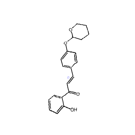 O=C(/C=C/c1ccc(OC2CCCCO2)cc1)c1ccccc1O